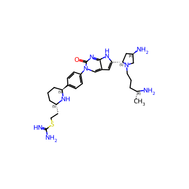 C[C@@H](N)CCCN1C[C@H](N)C[C@H]1c1cc2cn(-c3ccc([C@@H]4CCC[C@@H](CCSC(=N)N)N4)cc3)c(=O)nc2[nH]1